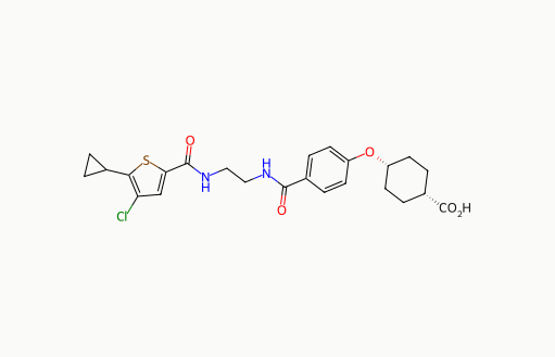 O=C(NCCNC(=O)c1cc(Cl)c(C2CC2)s1)c1ccc(O[C@H]2CC[C@@H](C(=O)O)CC2)cc1